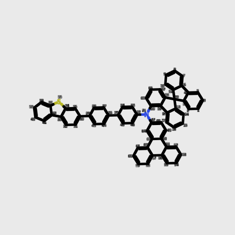 c1ccc2c(c1)-c1ccccc1C21c2ccccc2-c2c(N(c3ccc(-c4ccc(-c5ccc6c(c5)sc5ccccc56)cc4)cc3)c3ccc4c5ccccc5c5ccccc5c4c3)cccc21